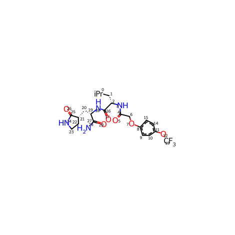 CC(C)C[C@H](NC(=O)COc1ccc(OC(F)(F)F)cc1)C(=O)N[C@@H](C[C@@H]1CCNC1=O)C(N)=O